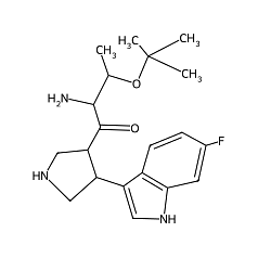 CC(OC(C)(C)C)C(N)C(=O)C1CNCC1c1c[nH]c2cc(F)ccc12